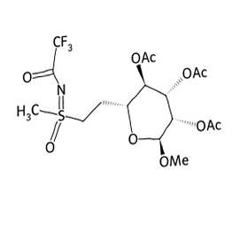 CO[C@H]1O[C@H](CCS(C)(=O)=NC(=O)C(F)(F)F)[C@@H](OC(C)=O)[C@H](OC(C)=O)[C@@H]1OC(C)=O